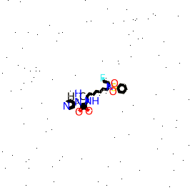 CC(CCCCCCN(CCF)S(=O)(=O)C1CCCCC1)Nc1c(Nc2ccncc2)c(=O)c1=O